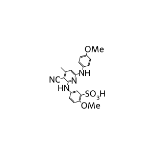 COc1ccc(Nc2cc(C)c(C#N)c(Nc3ccc(OC)c(S(=O)(=O)O)c3)n2)cc1